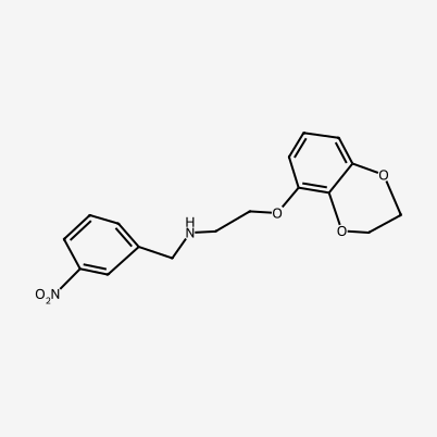 O=[N+]([O-])c1cccc(CNCCOc2cccc3c2OCCO3)c1